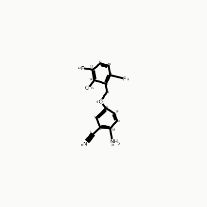 N#Cc1cc(OCc2c(F)ccc(F)c2Cl)ccc1N